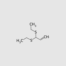 [CH]=CC(SCC)SCC